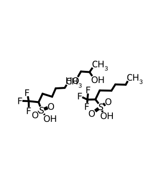 CC(O)CO.CCCCCC(C(F)(F)F)S(=O)(=O)O.CCCCCC(C(F)(F)F)S(=O)(=O)O